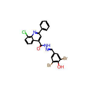 O=C(NN=Cc1cc(Br)c(O)c(Br)c1)c1cc(-c2ccccc2)nc2c(Cl)cccc12